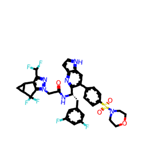 O=C(Cn1nc(C(F)F)c2c1C(F)(F)C1CC21)N[C@@H](Cc1cc(F)cc(F)c1)c1nc2cc[nH]c2cc1-c1ccc(S(=O)(=O)N2CCOCC2)cc1